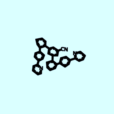 N#Cc1cc(-c2ccccc2-c2ccc(-c3ccccn3)cc2)cc(-c2ccccc2-c2ccc(-c3ccccn3)cc2)c1